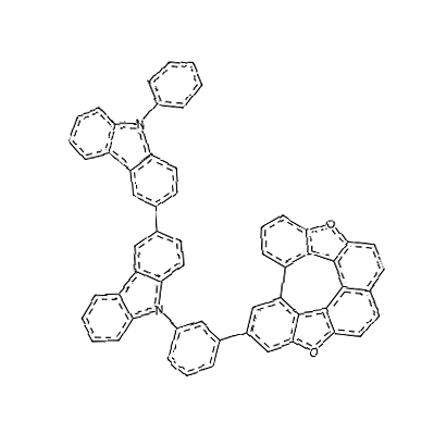 c1ccc(-n2c3ccccc3c3cc(-c4ccc5c(c4)c4ccccc4n5-c4cccc(-c5cc6c7c(c5)oc5ccc8ccc9oc%10cccc-6c%10c9c8c57)c4)ccc32)cc1